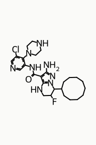 Nc1nn2c(c1C(=O)Nc1cncc(Cl)c1N1CCNCC1)NCC(F)C2C1CCCCCCCCC1